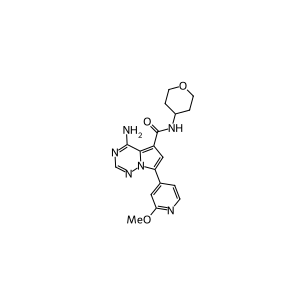 COc1cc(-c2cc(C(=O)NC3CCOCC3)c3c(N)ncnn23)ccn1